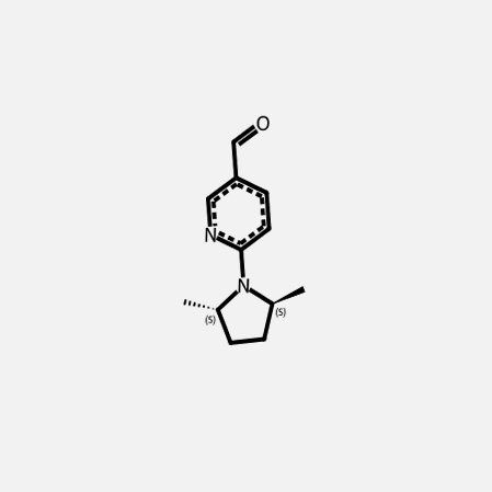 C[C@H]1CC[C@H](C)N1c1ccc(C=O)cn1